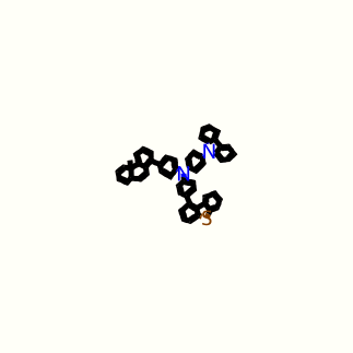 CC12C=CC=CC1C=Cc1c(-c3ccc(N(c4ccc(-c5cccc6sc7ccccc7c56)cc4)c4ccc(-n5c6ccccc6c6ccccc65)cc4)cc3)cccc12